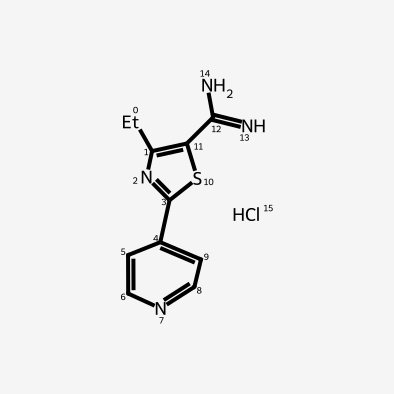 CCc1nc(-c2ccncc2)sc1C(=N)N.Cl